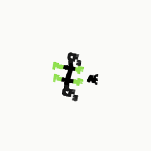 FC(F)(F)C(F)(F)C(F)(F)C(F)(F)F.[Al]